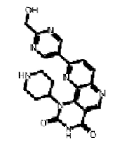 O=c1[nH]c(=O)n(C2CCNCC2)c2c1cnc1ccc(-c3cnc(CO)nc3)nc12